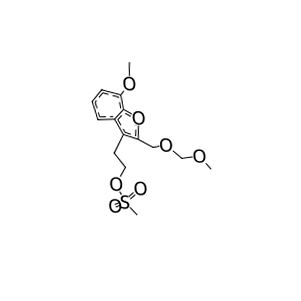 COCOCc1oc2c(OC)cccc2c1CCOS(C)(=O)=O